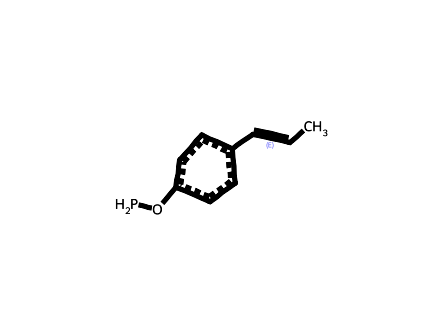 C/C=C/c1ccc(OP)cc1